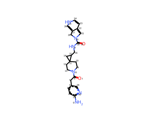 Nc1ccc(CC(=O)N2CCC3(CC2)CC3CNC(=O)N2C=C3C=CNC=C3C2)cn1